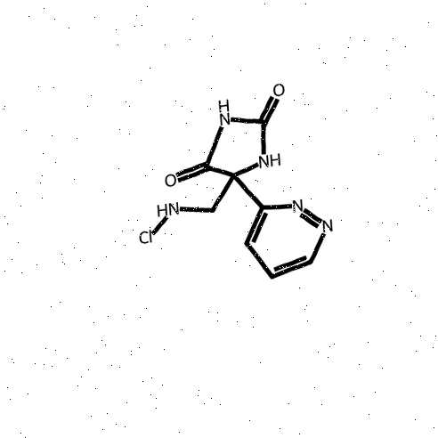 O=C1NC(=O)C(CNCl)(c2cccnn2)N1